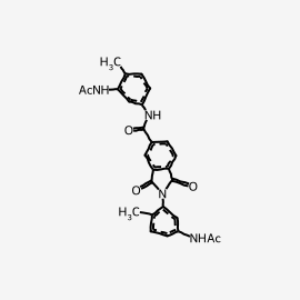 CC(=O)Nc1ccc(C)c(N2C(=O)c3ccc(C(=O)Nc4ccc(C)c(NC(C)=O)c4)cc3C2=O)c1